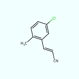 Cc1ccc(Cl)cc1/C=C/C#N